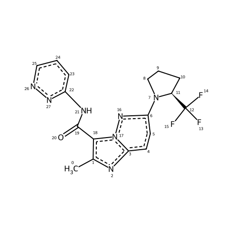 Cc1nc2ccc(N3CCC[C@H]3C(F)(F)F)nn2c1C(=O)Nc1cccnn1